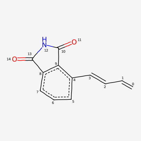 C=CC=Cc1cccc2c1C(=O)NC2=O